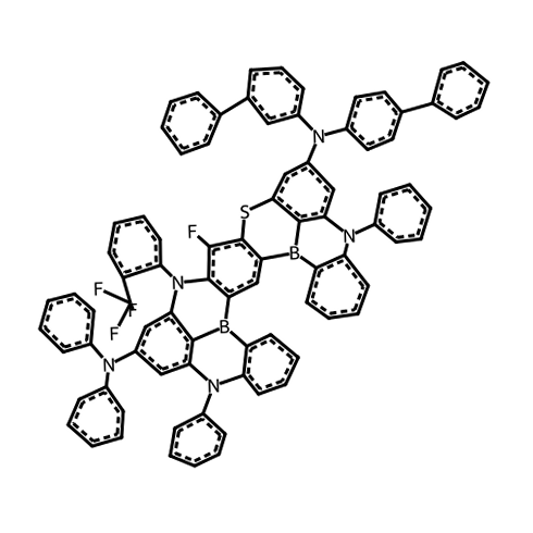 Fc1c2c(cc3c1N(c1ccccc1C(F)(F)F)c1cc(N(c4ccccc4)c4ccccc4)cc4c1B3c1ccccc1N4c1ccccc1)B1c3ccccc3N(c3ccccc3)c3cc(N(c4ccc(-c5ccccc5)cc4)c4cccc(-c5ccccc5)c4)cc(c31)S2